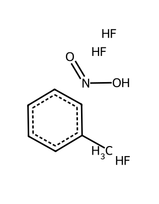 Cc1ccccc1.F.F.F.O=NO